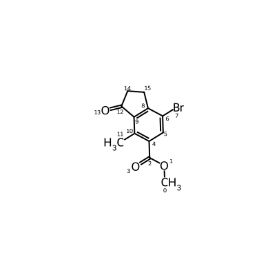 COC(=O)c1cc(Br)c2c(c1C)C(=O)CC2